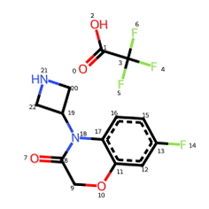 O=C(O)C(F)(F)F.O=C1COc2cc(F)ccc2N1C1CNC1